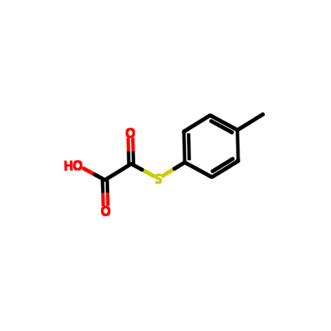 Cc1ccc(SC(=O)C(=O)O)cc1